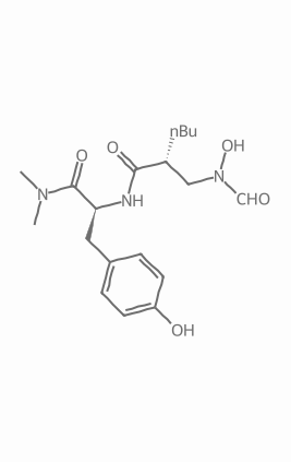 CCCC[C@H](CN(O)C=O)C(=O)N[C@@H](Cc1ccc(O)cc1)C(=O)N(C)C